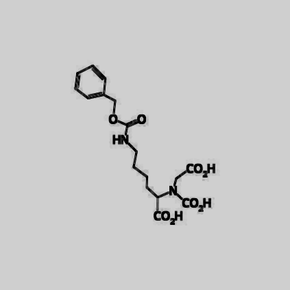 O=C(O)CN(C(=O)O)C(CCCCNC(=O)OCc1ccccc1)C(=O)O